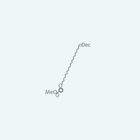 CCCCCCCCCCCCCCCCCCCCCCCCCCCCCCCCOc1cccc(C(=O)OC)c1